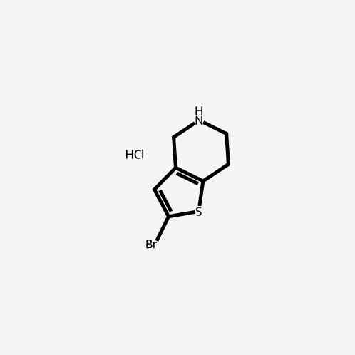 Brc1cc2c(s1)CCNC2.Cl